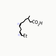 CC/C=C\C/C=C\CCC(C)CC(=O)O